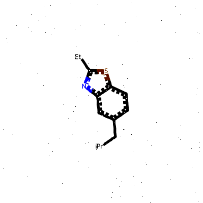 CCc1nc2cc(CC(C)C)ccc2s1